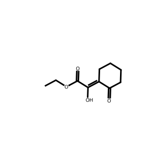 CCOC(=O)/C(O)=C1\CCCCC1=O